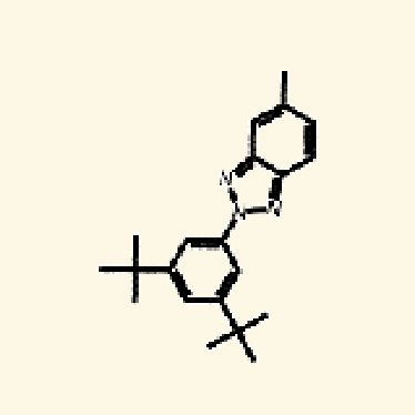 Cc1ccc2nn(-c3cc(C(C)(C)C)cc(C(C)(C)C)c3)nc2c1